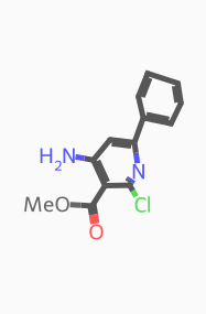 COC(=O)c1c(N)cc(-c2ccccc2)nc1Cl